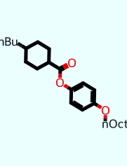 CCCCCCCCOc1ccc(OC(=O)C2CCC(CCCC)CC2)cc1